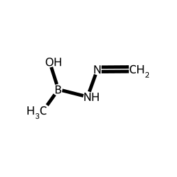 C=NNB(C)O